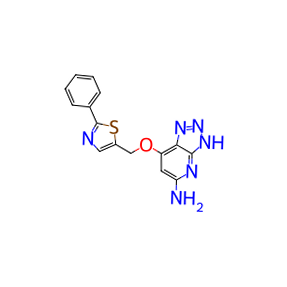 Nc1cc(OCc2cnc(-c3ccccc3)s2)c2nn[nH]c2n1